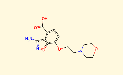 Nc1noc2c(OCCN3CCOCC3)ccc(C(=O)O)c12